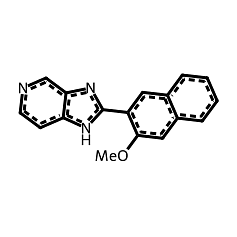 COc1cc2ccccc2cc1-c1nc2cnccc2[nH]1